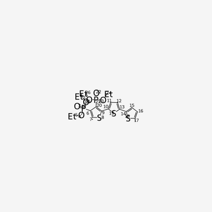 CCOP(=O)(OCC)c1[c]sc(-c2ccc(-c3cc[c]s3)s2)c1P(=O)(OCC)OCC